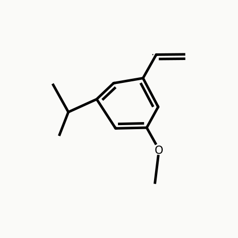 C=[C]c1cc(OC)cc(C(C)C)c1